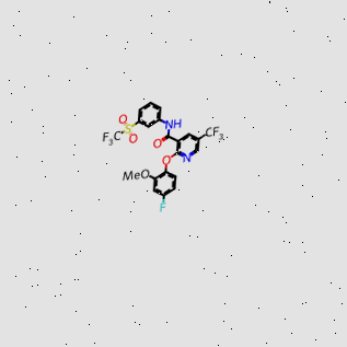 COc1cc(F)ccc1Oc1ncc(C(F)(F)F)cc1C(=O)Nc1cccc(S(=O)(=O)C(F)(F)F)c1